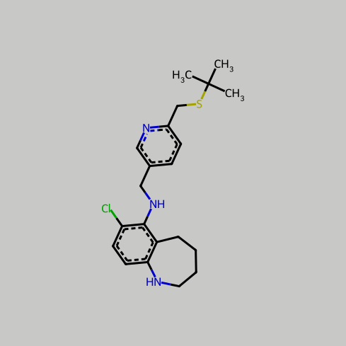 CC(C)(C)SCc1ccc(CNc2c(Cl)ccc3c2CCCCN3)cn1